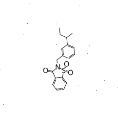 CCC(C)c1cccc(CN2C(=O)c3ccccc3S2(=O)=O)c1